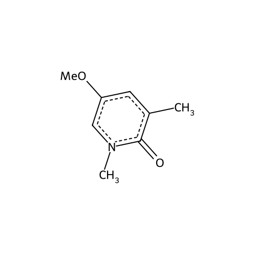 COc1cc(C)c(=O)n(C)c1